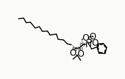 CCCCCCCCCCCCCC[C@H]1OC(C)(C)O[C@H]1[C@@H]1COS(=O)(=O)N1Cc1ccccc1